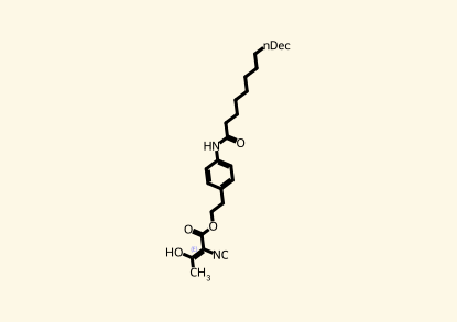 [C-]#[N+]/C(C(=O)OCCc1ccc(NC(=O)CCCCCCCCCCCCCCCCC)cc1)=C(\C)O